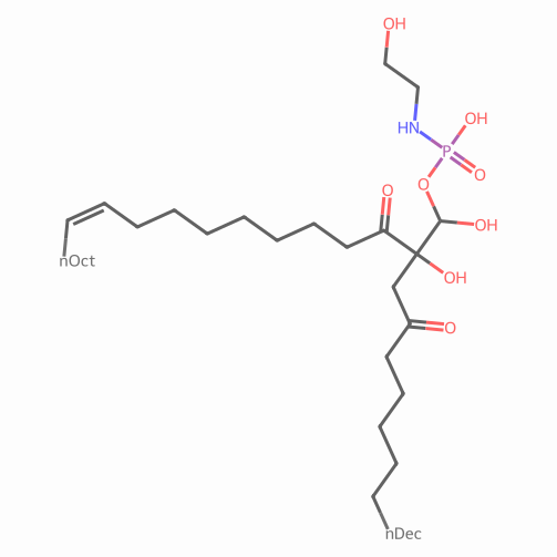 CCCCCCCC/C=C\CCCCCCCC(=O)C(O)(CC(=O)CCCCCCCCCCCCCCC)C(O)OP(=O)(O)NCCO